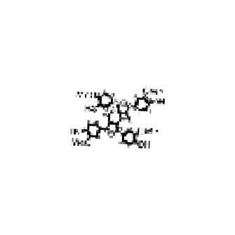 COc1ccc([C@@H]2O[C@H](c3ccc(O)c(OC)c3)C(C)[C@]23CCC2C(C3)[C@@H](c3ccc(O)c(OC)c3)O[C@H]2c2ccc(O)c(OC)c2)cc1O